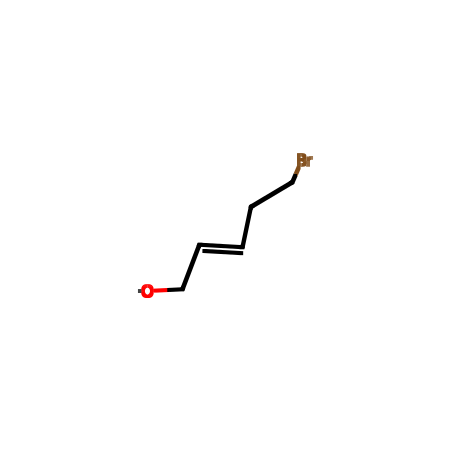 [O]CC=CCCBr